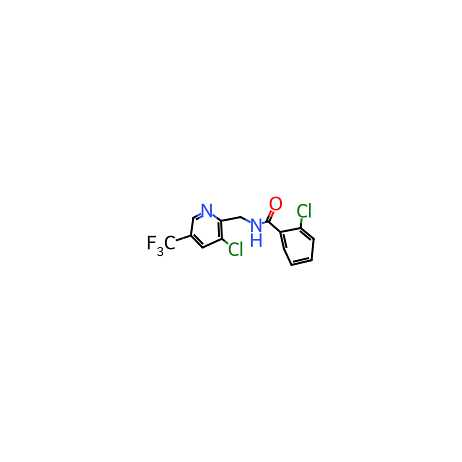 O=C(NCc1ncc(C(F)(F)F)cc1Cl)c1ccccc1Cl